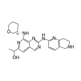 CC(O)c1cc2cnc(Nc3ccc4c(n3)CCNC4)nc2c(N[C@H]2CCCOC2)n1